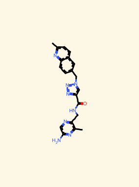 Cc1ccc2cc(Cn3cc(C(=O)NCc4ncc(N)nc4C)nn3)ccc2n1